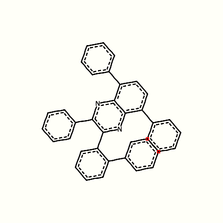 c1ccc(-c2ccccc2-c2nc3c(-c4ccccc4)ccc(-c4ccccc4)c3nc2-c2ccccc2)cc1